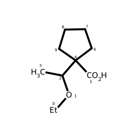 CCOC(C)C1(C(=O)O)CCCC1